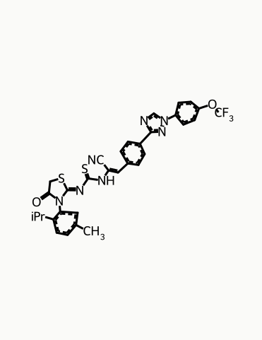 Cc1ccc(C(C)C)c(N2C(=O)CS/C2=N\C(=S)N/C(C#N)=C/c2ccc(-c3ncn(-c4ccc(OC(F)(F)F)cc4)n3)cc2)c1